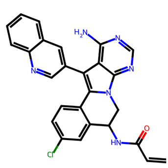 C=CC(=O)NC1Cn2c(c(-c3cnc4ccccc4c3)c3c(N)ncnc32)-c2ccc(Cl)cc21